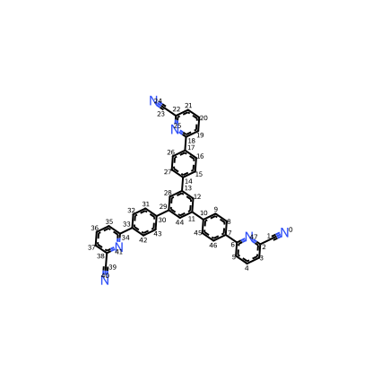 N#Cc1cccc(-c2ccc(-c3cc(-c4ccc(-c5cccc(C#N)n5)cc4)cc(-c4ccc(-c5cccc(C#N)n5)cc4)c3)cc2)n1